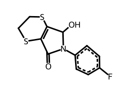 O=C1C2=C(SCCS2)C(O)N1c1ccc(F)cc1